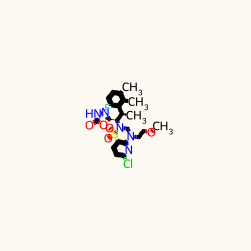 COCCN1CN([C@H](c2n[nH]c(=O)o2)[C@H](C)c2c(F)ccc(C)c2C)S(=O)(=O)c2ccc(Cl)nc21